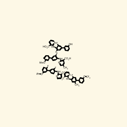 CC(C)Oc1ccc(F)c(-c2ccc(Nc3ncccc3C(=O)O)c(F)c2)c1.COc1cccc(-c2ccc(Nc3ncc(C)cc3C(=O)O)c(F)c2)c1.Cc1cc(Nc2ncccc2C(=O)O)c(F)cc1-c1cccc(OC(F)(F)F)c1.O=C(O)c1cccnc1Nc1c(F)cc(-c2cccc(O)c2)cc1F